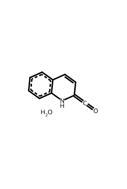 O.O=C=C1C=Cc2ccccc2N1